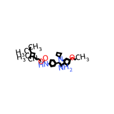 CCOc1ccc2c(N)c(-c3ccc(NC(=O)OCCC4CC(C(C)C)C4(C)C)cc3)n(C3CCC3)c2c1